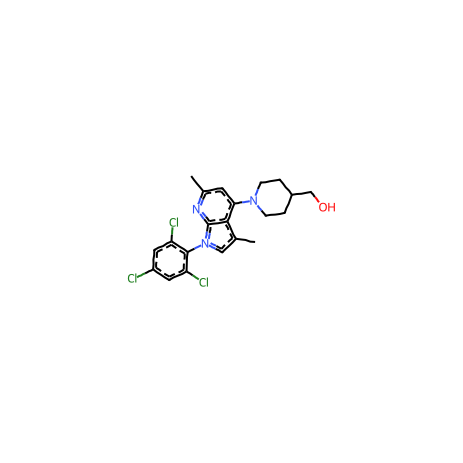 Cc1cc(N2CCC(CO)CC2)c2c(C)cn(-c3c(Cl)cc(Cl)cc3Cl)c2n1